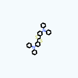 c1ccc(N(c2ccccc2)c2ccc3sc4c5cc(N(c6ccccc6)c6ccccc6)ccc5sc4c3c2)cc1